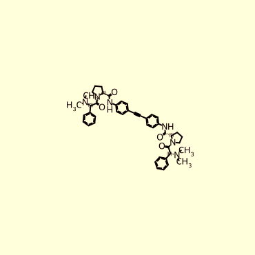 CN(C)[C@@H](C(=O)N1CCC[C@H]1C(=O)Nc1ccc(C#Cc2ccc(NC(=O)[C@@H]3CCCN3C(=O)[C@@H](c3ccccc3)N(C)C)cc2)cc1)c1ccccc1